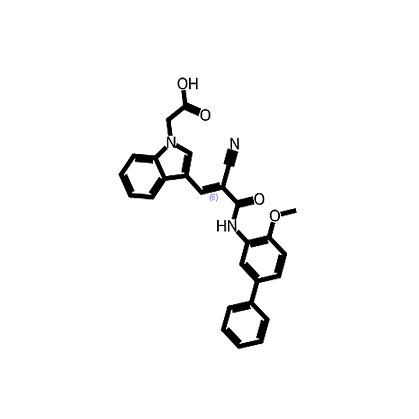 COc1ccc(-c2ccccc2)cc1NC(=O)/C(C#N)=C/c1cn(CC(=O)O)c2ccccc12